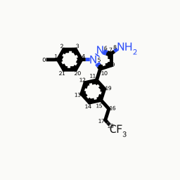 Cc1ccc(-n2nc(N)cc2-c2cccc(CCC(F)(F)F)c2)cc1